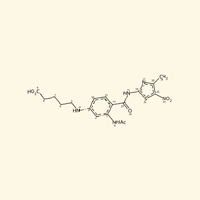 CC(=O)Nc1cc(NCCCCC(=O)O)ccc1C(=O)Nc1nc(C)c([N+](=O)[O-])s1